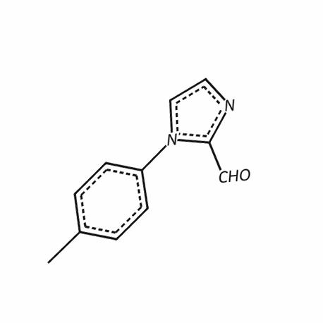 Cc1ccc(-n2ccnc2C=O)cc1